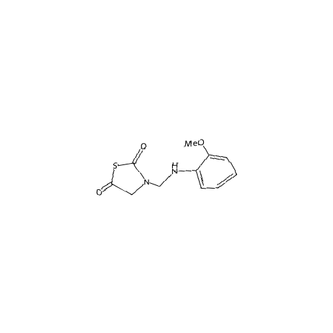 COc1ccccc1NCN1CC(=O)SC1=O